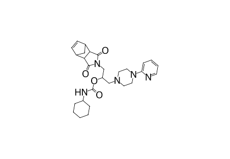 O=C(NC1CCCCC1)OC(CN1CCN(c2ccccn2)CC1)CN1C(=O)C2C3C=CC(C3)C2C1=O